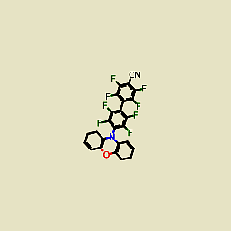 N#Cc1c(F)c(F)c(-c2c(F)c(F)c(N3C4=C(CCC=C4)OC4=C3CCC=C4)c(F)c2F)c(F)c1F